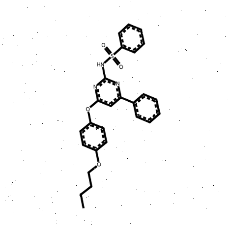 CCCCOc1ccc(Oc2cc(-c3ccccc3)nc(NS(=O)(=O)c3ccccc3)n2)cc1